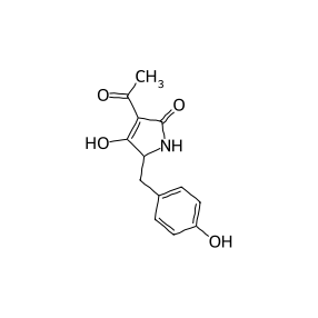 CC(=O)C1=C(O)C(Cc2ccc(O)cc2)NC1=O